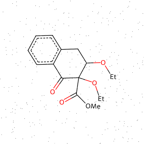 CCOC1Cc2ccccc2C(=O)C1(OCC)C(=O)OC